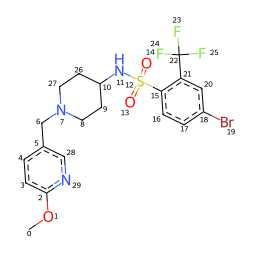 COc1ccc(CN2CCC(NS(=O)(=O)c3ccc(Br)cc3C(F)(F)F)CC2)cn1